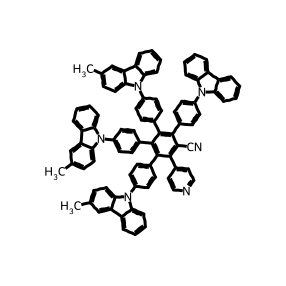 Cc1ccc2c(c1)c1ccccc1n2-c1ccc(-c2c(-c3ccncc3)c(C#N)c(-c3ccc(-n4c5ccccc5c5ccccc54)cc3)c(-c3ccc(-n4c5ccccc5c5cc(C)ccc54)cc3)c2-c2ccc(-n3c4ccccc4c4cc(C)ccc43)cc2)cc1